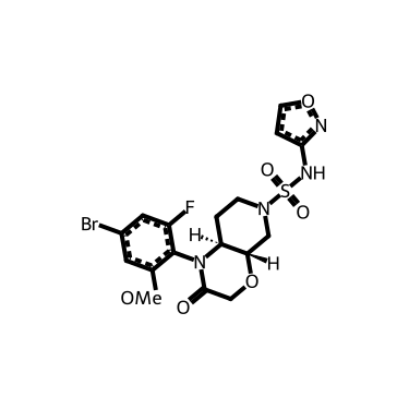 COc1cc(Br)cc(F)c1N1C(=O)CO[C@H]2CN(S(=O)(=O)Nc3ccon3)CC[C@@H]21